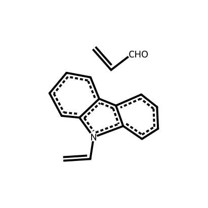 C=CC=O.C=Cn1c2ccccc2c2ccccc21